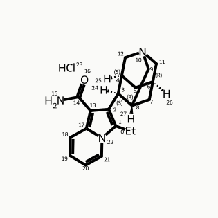 CCc1c([C@H]2[C@@H]3C[C@@H]4C[C@H]2CN(C4)C3)c(C(N)=O)c2ccccn12.Cl